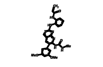 C=CC(=O)Nc1ccccc1Nc1ncc2cc(-c3cc(OC)cc(OC)c3)c(NC(=O)NC(C)(C)C)nc2n1